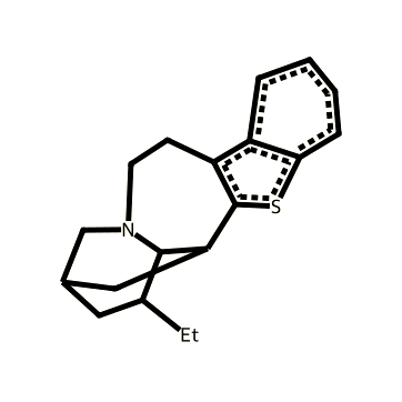 CCC1CC2CC3c4sc5ccccc5c4CCN(C2)C13